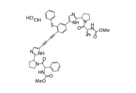 COC(=O)NC(C(=O)N1CCCC1c1ncc(C#CC#Cc2ccc(-c3cnc(C4CCCN4C(=O)[C@@H](NC(=O)OC)C(C)C)[nH]3)cc2Sc2ccccc2)[nH]1)c1ccccc1.Cl.Cl